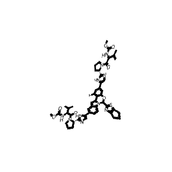 COC(=O)NC(C(=O)N1CCC[C@H]1c1ncc(-c2cc(F)c3c(c2)OC(c2nc4c(s2)CCC4)n2c-3cc3cc(-c4cnc([C@@H]5CCCN5C(=O)C(NC(=O)OC)C(C)C)[nH]4)ccc32)[nH]1)C(C)C